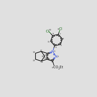 CCOC(=O)c1nn(-c2ccc(Cl)c(Cl)c2)c2c1C1CCC2C1